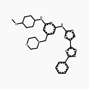 COC1CCC(Nc2cc(CN3CCOCC3)cc(Nc3ncc(-c4nnc(-c5ccccc5)o4)s3)n2)CC1